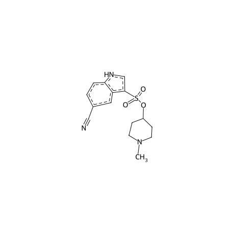 CN1CCC(OS(=O)(=O)c2c[nH]c3ccc(C#N)cc23)CC1